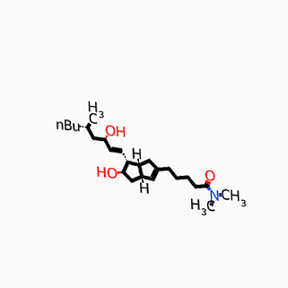 CCCC[C@H](C)C[C@H](O)/C=C/[C@@H]1[C@H]2CC(CCCCC(=O)N(C)C)=C[C@H]2C[C@H]1O